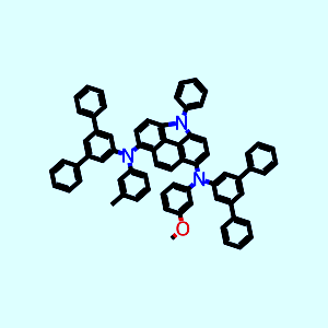 COc1cccc(N(c2cc(-c3ccccc3)cc(-c3ccccc3)c2)c2ccc3c4c2ccc2c(N(c5cccc(C)c5)c5cc(-c6ccccc6)cc(-c6ccccc6)c5)ccc(c24)n3-c2ccccc2)c1